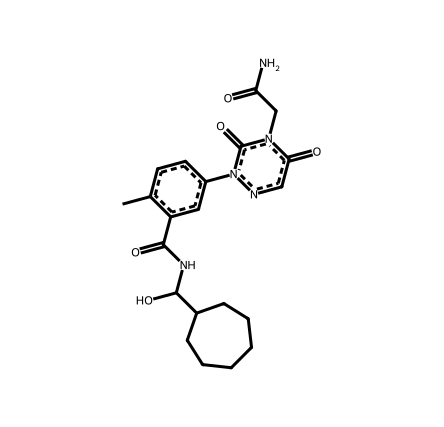 Cc1ccc(-n2ncc(=O)n(CC(N)=O)c2=O)cc1C(=O)NC(O)C1CCCCCC1